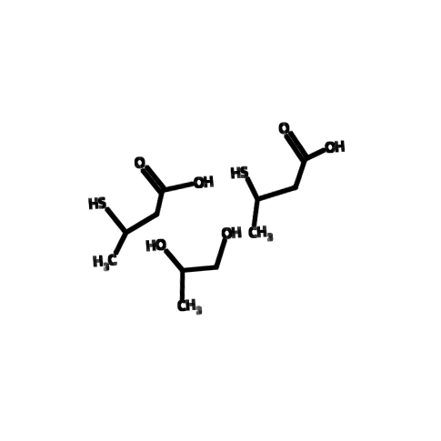 CC(O)CO.CC(S)CC(=O)O.CC(S)CC(=O)O